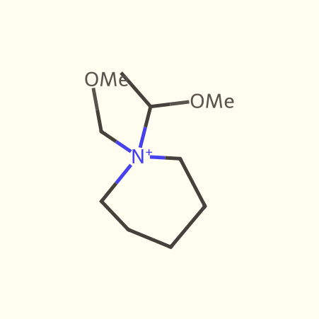 COC[N+]1(C(C)OC)CCCCC1